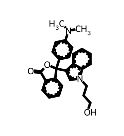 CN(C)c1ccc(C2(c3cn(CCCO)c4ccccc34)OC(=O)c3ccccc32)cc1